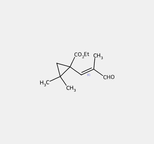 CCOC(=O)C1(/C=C(\C)C=O)CC1(C)C